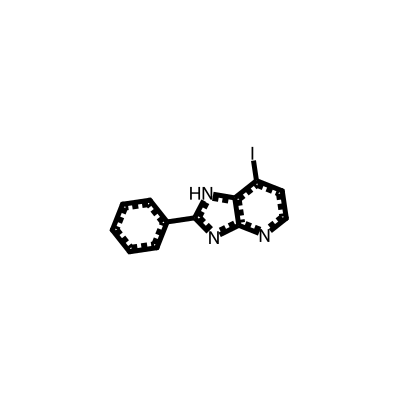 Ic1ccnc2nc(-c3ccccc3)[nH]c12